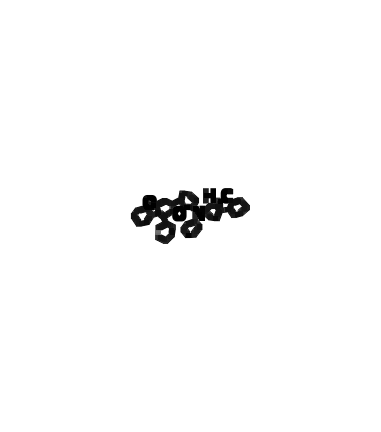 Cc1ccccc1-c1ccc(N(c2ccccc2)c2cccc3c2oc2c(-c4ccccc4)c4c(cc23)oc2ccccc24)cc1